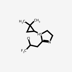 CC1(C)[CH]C1[SH]1CCN=C1CC(Cl)C(F)(F)F